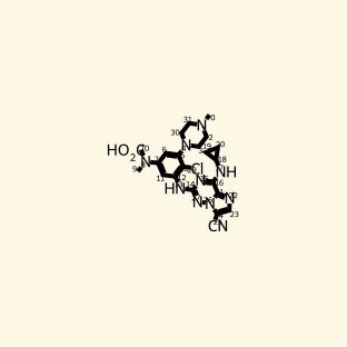 CN1CCN(c2cc(N(C)C(=O)O)cc(Nc3nc(NC4CC4)c4ncc(C#N)n4n3)c2Cl)CC1